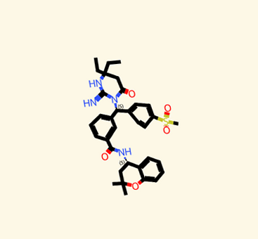 CCC1(CC)CC(=O)N([C@@H](c2ccc(S(C)(=O)=O)cc2)c2cccc(C(=O)N[C@H]3CC(C)(C)Oc4ccccc43)c2)C(=N)N1